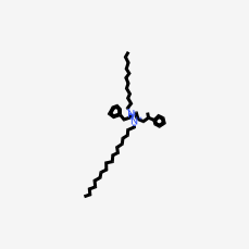 CCCCCCCCCCCCCCCCCC[n+]1c(CC(C)c2ccccc2)cn(CCCCCCCCCCCC)c1Cc1ccccc1